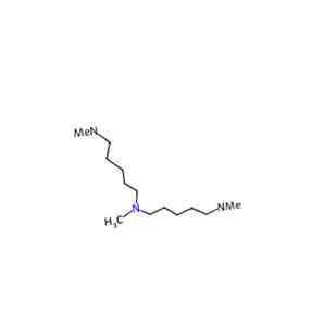 CNCCCCCN(C)CCCCCNC